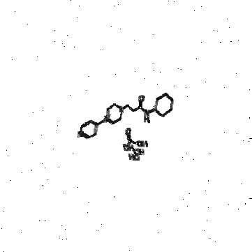 Cl.Cl.O=C(CCN1CCN(c2ccncc2)CC1)NC1CCCCC1.O=C(O)O